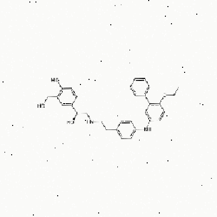 CCOc1ccc(Nc2ccc(CCNC[C@@H](O)c3ccc(O)c(CO)c3)cc2)cc1-c1ccccc1